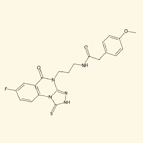 COc1ccc(CC(=O)NCCCn2c(=O)c3cc(F)ccc3n3c(=S)[nH]nc23)cc1